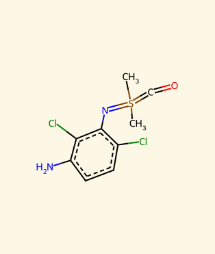 CS(C)(=C=O)=Nc1c(Cl)ccc(N)c1Cl